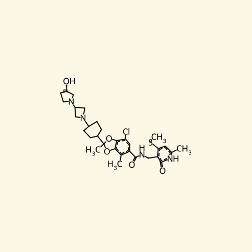 CSc1cc(C)[nH]c(=O)c1CNC(=O)c1cc(Cl)c2c(c1C)OC(C)(C1CCC(N3CC(N4CC[C@@H](O)C4)C3)CC1)O2